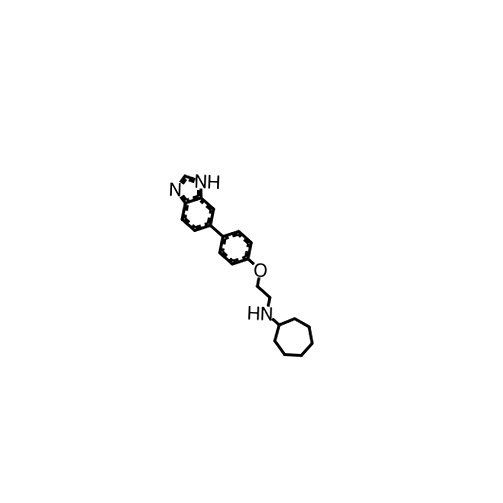 c1nc2ccc(-c3ccc(OCCNC4CCCCCC4)cc3)cc2[nH]1